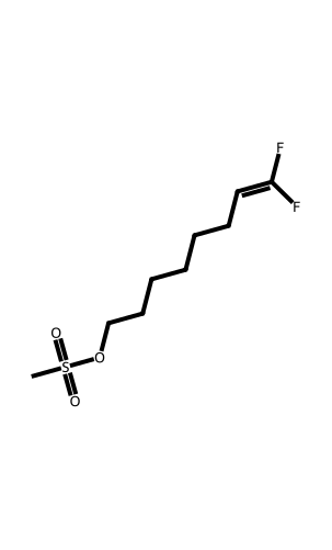 CS(=O)(=O)OCCCCCCC=C(F)F